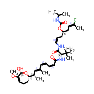 COC1=CCC[C@@H]([C@@H](C)/C=C(C)/C=C\C=C/C(=O)N[C@H](C(=O)N/C=C\C[C@H](C/C=C(\C)Cl)OC(=O)NC(C)C)C(C)(C)C)O[C@H]1O